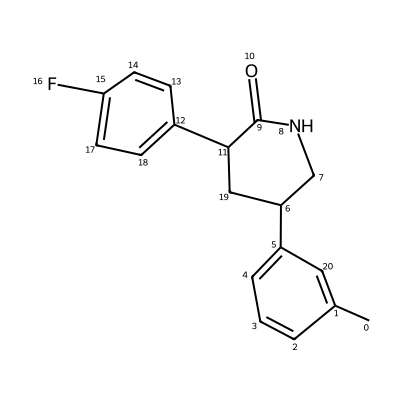 Cc1cccc(C2CNC(=O)C(c3ccc(F)cc3)C2)c1